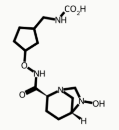 O=C(O)NCC1CCC(ONC(=O)[C@@H]2CC[C@@H]3CN2CN3O)C1